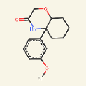 CCOc1cccc(C23CCCCC2OCC(=O)N3)c1